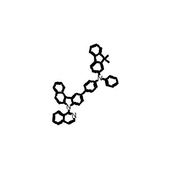 CC1(C)c2ccccc2-c2ccc(N(c3ccccc3)c3ccc(-c4ccc5c(c4)c4c6ccccc6ccc4n5-c4nccc5ccccc45)cc3)cc21